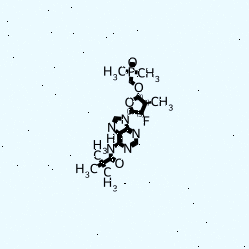 C[C@@H]1[C@@H](OCP(C)(C)=O)O[C@@H](n2cnc3c(NC(=O)C(C)(C)C)ncnc32)[C@H]1F